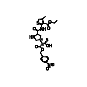 CCOC(=O)c1c(C)csc1NC(=O)C1C[C@@H]([C@@H](C(=O)OCc2ccc([N+](=O)[O-])cc2)C(O)=S)CN1